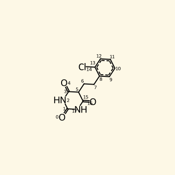 O=C1NC(=O)C(CCc2ccccc2Cl)C(=O)N1